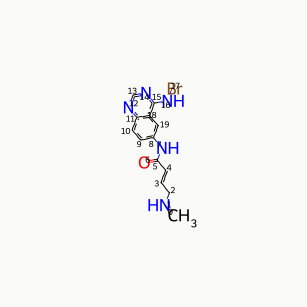 CNCC=CC(=O)Nc1ccc2ncnc(NBr)c2c1